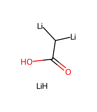 [LiH].[Li][CH]([Li])C(=O)O